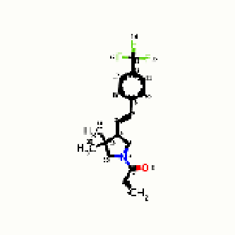 C=CC(=O)N1CC(C=Cc2ccc(C(F)(F)F)cc2)C(C)(C)C1